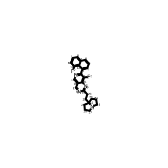 Fc1c(-c2cccc3cccc(F)c23)ncc2cnc(CCC34CCCN3CCC4)nc12